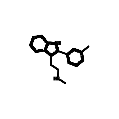 CNCCc1c(-c2cccc(C)c2)[nH]c2ccccc12